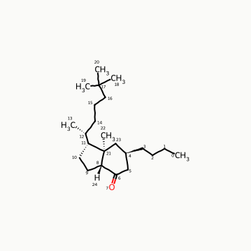 CCCC[C@H]1CC(=O)[C@@H]2CC[C@H]([C@H](C)CCCC(C)(C)C)[C@@]2(C)C1